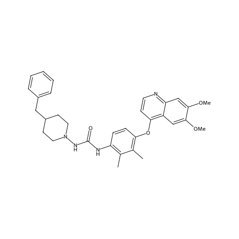 COc1cc2nccc(Oc3ccc(NC(=O)NN4CCC(Cc5ccccc5)CC4)c(C)c3C)c2cc1OC